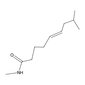 CNC(=O)CCC/C=C/CC(C)C